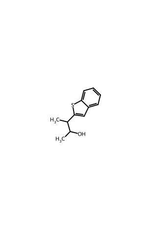 CC(O)C(C)c1cc2ccccc2s1